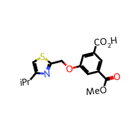 COC(=O)c1cc(OCc2nc(C(C)C)cs2)cc(C(=O)O)c1